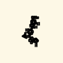 COc1cc(Cl)c2[nH]c(C(=O)N[C@@H](CC3CC3)C(=O)N[C@H](C#N)C[C@@H]3CCNC3=O)nc2c1